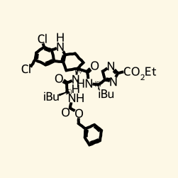 CCOC(=O)C1=NCC([C@@H](NC(=O)[C@@]2(NC(=O)[C@@H](NC(=O)OCc3ccccc3)C(C)CC)CCc3[nH]c4c(Cl)cc(Cl)cc4c3C2)C(C)CC)=N1